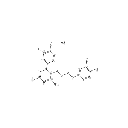 Cl.NC1=NC(c2ccc(Cl)c(F)c2)N(CCCOc2ccc(Cl)c(Cl)c2)C(N)=N1